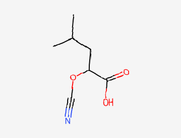 CC(C)CC(OC#N)C(=O)O